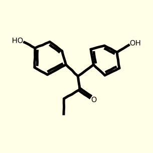 CCC(=O)C(c1ccc(O)cc1)c1ccc(O)cc1